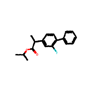 CC(C)OC(=O)C(C)c1ccc(-c2ccccc2)c(F)c1